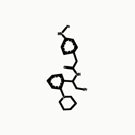 CCNc1ccc(CC(=O)NC(CC(C)C)c2ccccc2N2CCCCC2)cc1